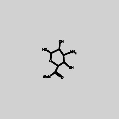 CNC(=O)C1OC(O)C(O)C(N)C1O